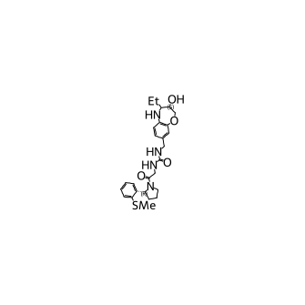 CCC1Nc2ccc(CNC(=O)NCC(=O)N3CCC[C@@H]3c3ccccc3SC)cc2OC[C@H]1O